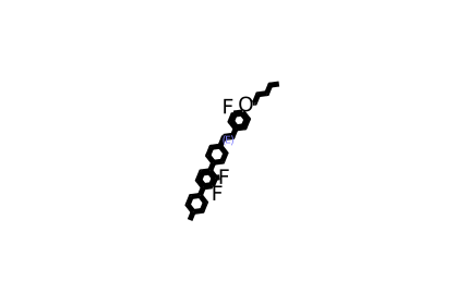 CCCCCOc1ccc(/C=C/C2CCC(c3ccc(C4CCC(C)CC4)c(F)c3F)CC2)cc1F